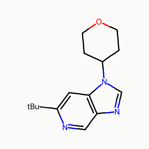 CC(C)(C)c1cc2c(cn1)ncn2C1CCOCC1